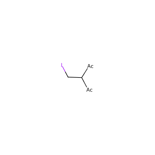 CC(=O)C(CI)C(C)=O